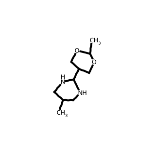 CC1CNC(C2COC(C)OC2)NC1